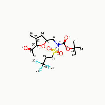 CC(=O)[C@@H]1OC(CN(C(=O)OC(C)(C)C)S(=O)(=O)CCC(F)(F)F)C[C@@H]1C